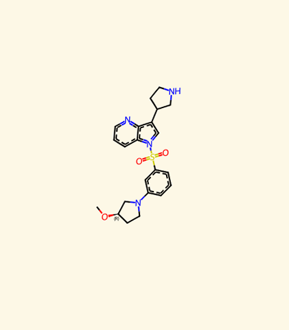 CO[C@@H]1CCN(c2cccc(S(=O)(=O)n3cc(C4CCNC4)c4ncccc43)c2)C1